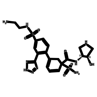 NCCNS(=O)(=O)c1ccc(C2=CC=CC(C(=O)N[C@@H]3CNC[C@H]3O)(S(N)(=O)=O)C2)c(-c2nn[nH]n2)c1